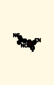 CC1C=Cc2c(c3c(n2-c2ccc(C#N)cc2-c2ccc(-c4ccc(N5c6ccc(C#N)cc6C6C=CC=CC65)cc4)cc2)C=CC(C#N)C3)C1